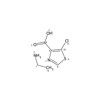 CCN.O=C(O)c1ncsc1Cl